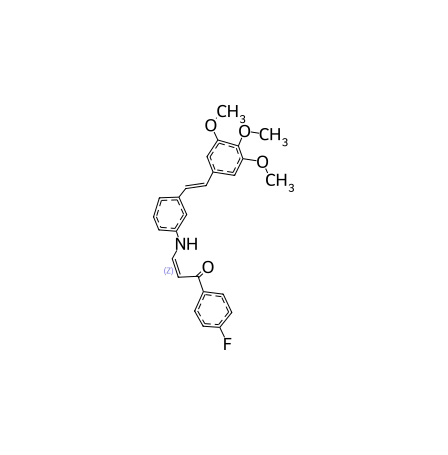 COc1cc(C=Cc2cccc(N/C=C\C(=O)c3ccc(F)cc3)c2)cc(OC)c1OC